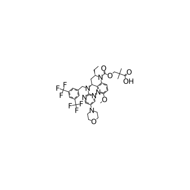 CC[C@@H]1C[C@H](N(Cc2cc(C(F)(F)F)cc(C(F)(F)F)c2)c2ncc(N3CCOCC3)cn2)c2nc(OC)ccc2N1C(=O)OCC(C)(C)C(=O)O